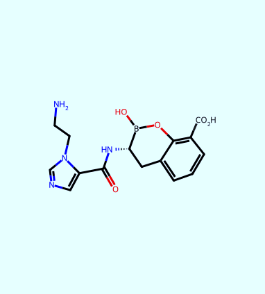 NCCn1cncc1C(=O)N[C@H]1Cc2cccc(C(=O)O)c2OB1O